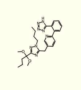 CCCCn1nc(C(CCC)(OC)OC)nc1Cc1ccc(-c2ccccc2-c2nnn[nH]2)nc1